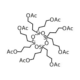 CC(=O)OCCC[Si]1(CCCOC(C)=O)O[Si](CCCOC(C)=O)(CCCOC(C)=O)O[Si](CCCOC(C)=O)(CCCOC(C)=O)O[Si](CCCOC(C)=O)(CCCOC(C)=O)O1